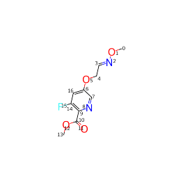 CON=CCOc1cnc(C(=O)OC)c(F)c1